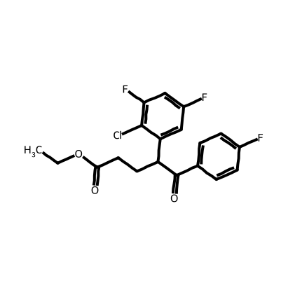 CCOC(=O)CCC(C(=O)c1ccc(F)cc1)c1cc(F)cc(F)c1Cl